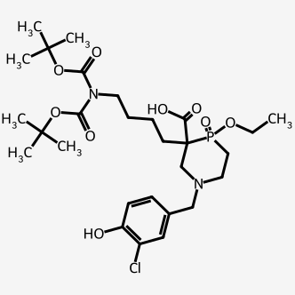 CCOP1(=O)CCN(Cc2ccc(O)c(Cl)c2)CC1(CCCCN(C(=O)OC(C)(C)C)C(=O)OC(C)(C)C)C(=O)O